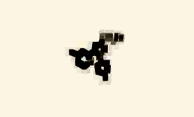 CCOC(=O)c1cc(-c2cc(C)ccn2)n(-c2ccc(C)nc2)n1